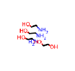 NCCO.NCCO.NCCO.OCCO